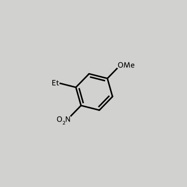 CCc1cc(OC)ccc1[N+](=O)[O-]